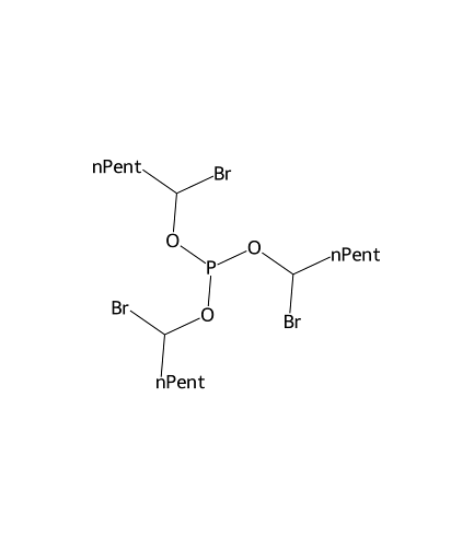 CCCCCC(Br)OP(OC(Br)CCCCC)OC(Br)CCCCC